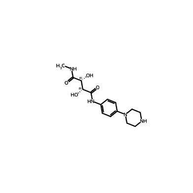 CNC(=O)[C@H](O)[C@@H](O)C(=O)Nc1ccc(N2CCNCC2)cc1